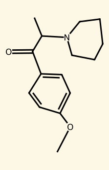 COc1ccc(C(=O)C(C)N2CCCCC2)cc1